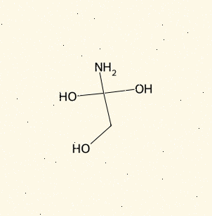 NC(O)(O)CO